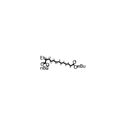 CCCCOC(=O)CCCCCCCCCCC(CC)C(=O)OCCCC